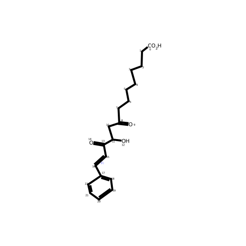 O=C(O)CCCCCCCC(=O)CC(O)C(=O)/C=C/c1ccccc1